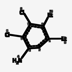 CCc1cc(N)c(Cl)c(Cl)c1CC